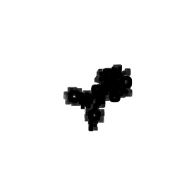 C[C@@H](C(=O)N[C@H](C(=O)N1CCC[C@H]1CN(CCc1ccc(F)cc1)C(=O)c1cnn(-c2ccccc2)c1)C(C)(C)C)N(C)C(=O)OC(C)(C)C